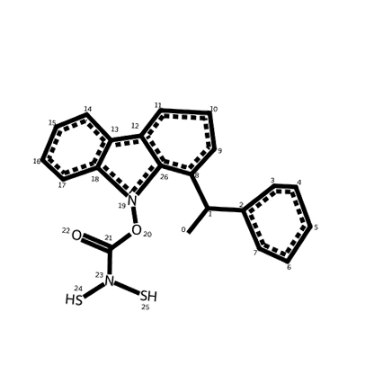 CC(c1ccccc1)c1cccc2c3ccccc3n(OC(=O)N(S)S)c12